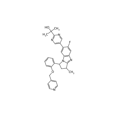 CC1CC(c2ccccc2OCc2ccncc2)n2c1nc1cc(F)c(-c3cnc(C(C)(C)O)nc3)cc12